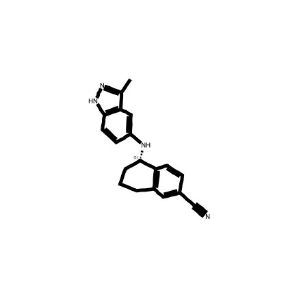 Cc1n[nH]c2ccc(N[C@H]3CCCc4cc(C#N)ccc43)cc12